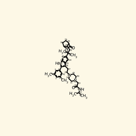 Cc1cc(C)cc(-c2[nH]c3sc(C(C)(C)CC4C5CCC4C(=O)N5)cc3c2CCN2CCN(CC(=O)NC(C)C)CC2)c1